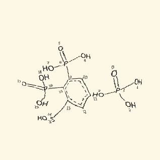 O=P(O)(O)O.O=P(O)(O)c1cccc(S(=O)(=O)O)c1P(=O)(O)O